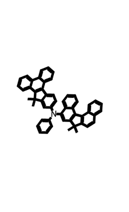 CC1(C)c2ccc3ccccc3c2-c2c1cc(N(c1ccccc1)c1ccc3c(c1)C(C)(C)c1c-3c3ccccc3c3ccccc13)c1ccccc21